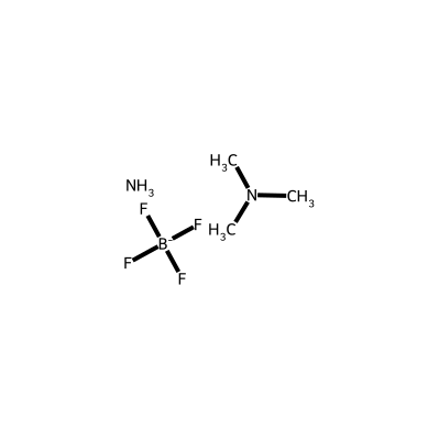 CN(C)C.F[B-](F)(F)F.N